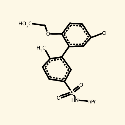 CCCNS(=O)(=O)c1ccc(C)c(-c2cc(Cl)ccc2OCC(=O)O)c1